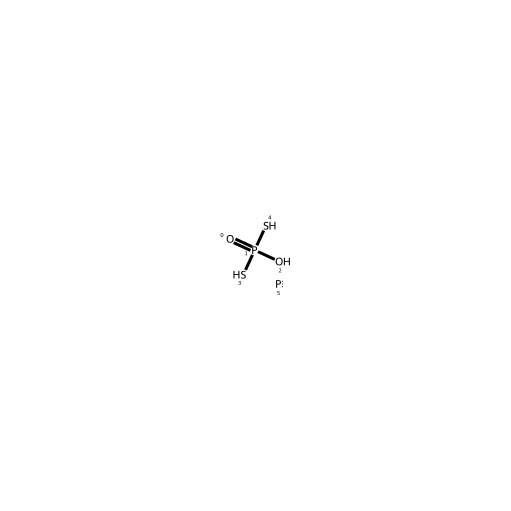 O=P(O)(S)S.[P]